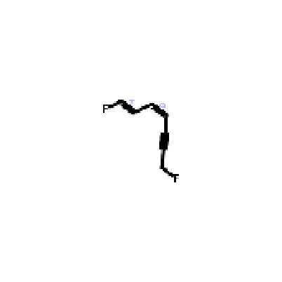 F/C=C/C=C\C#CCF